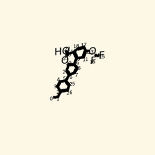 CCc1ccc(-c2ccc(-c3cc(OC(F)F)ccc3C(=O)O)cc2)cc1